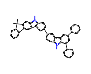 CC1(C)c2ccccc2-c2cc3c(cc21)[nH]c1ccc(-c2ccc4[nH]c5c(-c6ccccc6)cc(-c6ccccc6)cc5c4c2)cc13